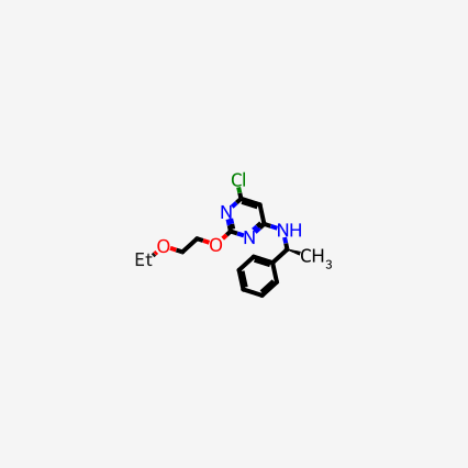 CCOCCOc1nc(Cl)cc(N[C@@H](C)c2ccccc2)n1